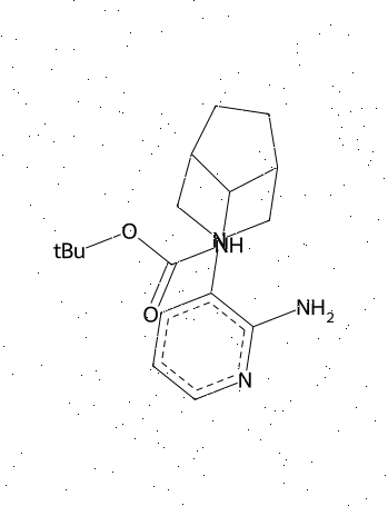 CC(C)(C)OC(=O)NC1C2CCC1CN(c1cccnc1N)C2